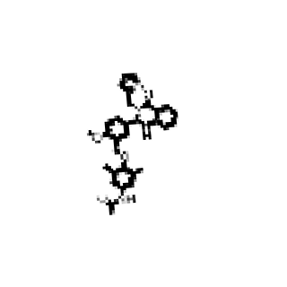 COc1ccc(C2Nc3ccccc3C(=O)N2Cc2ccco2)cc1COc1c(C)cc(NC(C)=O)cc1C